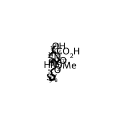 COC1(NC(=O)Cc2cccs2)C(=O)N2C(C(=O)O)=C(CO)CS[C@H]21